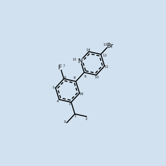 CC(C)c1ccc(F)c(-c2ccc(Br)cn2)c1